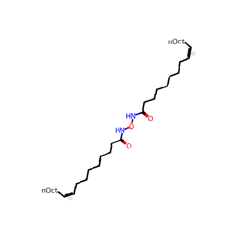 CCCCCCCC/C=C\CCCCCCCC(=O)NONC(=O)CCCCCCC/C=C\CCCCCCCC